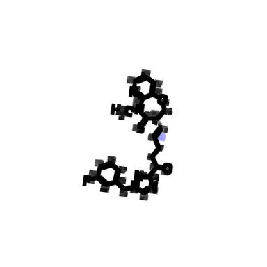 CN1C(=S)[C@@H](/C=C/CCC(=O)c2ncn(Cc3cccc(F)c3)n2)COc2cccnc21